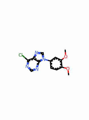 COc1ccc(-n2cnc3c(Cl)ncnc32)cc1OC